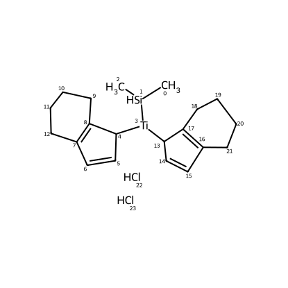 C[SiH](C)[Ti]([CH]1C=CC2=C1CCCC2)[CH]1C=CC2=C1CCCC2.Cl.Cl